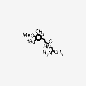 COc1c(C)cc(CCC(=O)NCC(C)N)cc1C(C)(C)C